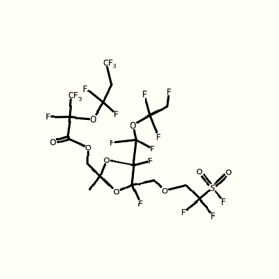 CC1(COC(=O)C(F)(OC(F)(F)CC(F)(F)F)C(F)(F)F)OC(F)(COCC(F)(F)S(=O)(=O)F)C(F)(C(F)(F)OC(F)(F)CF)O1